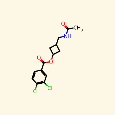 CC(=O)NCC1CC(OC(=O)c2ccc(Cl)c(Cl)c2)C1